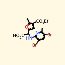 CCOC(=O)c1cc(C(Nc2nc(C)c(Br)cc2Br)C(=O)O)oc1C